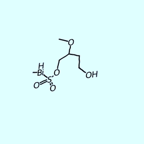 COC(CCO)CO[S](=O)(=O)[BiH][CH3]